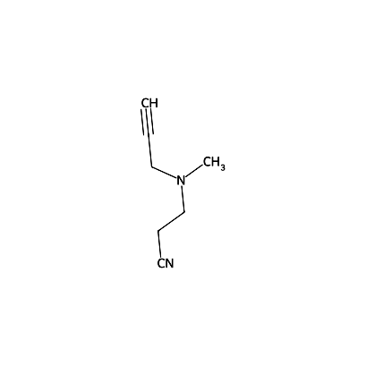 C#CCN(C)CCC#N